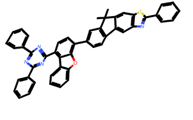 CC1(C)c2cc(-c3ccc(-c4nc(-c5ccccc5)nc(-c5ccccc5)n4)c4c3oc3ccccc34)ccc2-c2cc3nc(-c4ccccc4)sc3cc21